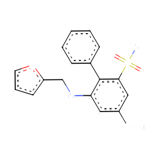 NS(=O)(=O)c1cc(C(=O)O)cc(NCc2ccco2)c1-c1ccccc1